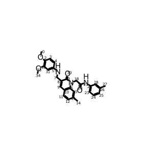 COc1ccc(NCc2cc3ccc(C)cc3n(CC(=O)Nc3cccc(C)c3)c2=O)cc1OC